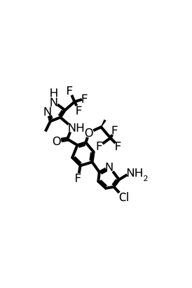 Cc1n[nH]c(C(F)(F)F)c1NC(=O)c1cc(F)c(-c2ccc(Cl)c(N)n2)cc1O[C@@H](C)C(F)(F)F